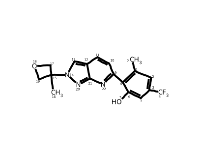 Cc1cc(C(F)(F)F)cc(O)c1-c1ccc2cn(C3(C)COC3)nc2n1